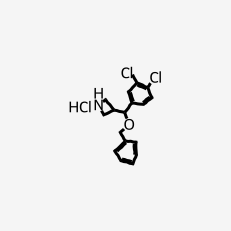 Cl.Clc1ccc(C(OCc2ccccc2)C2CNC2)cc1Cl